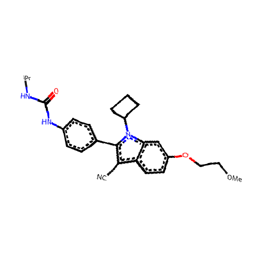 COCCOc1ccc2c(C#N)c(-c3ccc(NC(=O)NC(C)C)cc3)n(C3CCC3)c2c1